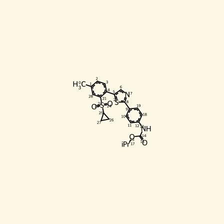 Cc1ccc(-c2cnc(-c3ccc(NC(=O)OC(C)C)cc3)s2)c(S(=O)(=O)C2CC2)c1